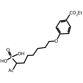 CCOC(=O)c1ccc(OCCCCCCC(C(C)=O)P(=O)(O)O)cc1